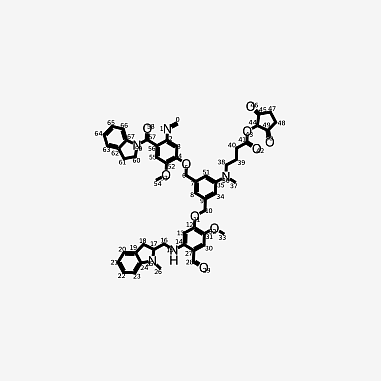 C=Nc1cc(OCc2cc(COc3cc(NCC4Cc5ccccc5N4C)c(C=O)cc3OC)cc(N(C)CCCC(=O)OC3C(=O)CCC3=O)c2)c(OC)cc1C(=O)N1CCc2ccccc21